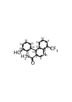 NC(=O)c1cnc2c(C(F)(F)F)cccc2c1-c1cccc(O)c1